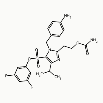 CC(C)c1nc(CCOC(N)=O)n(Cc2ccc(N)cc2)c1S(=O)(=O)Oc1cc(F)cc(F)c1